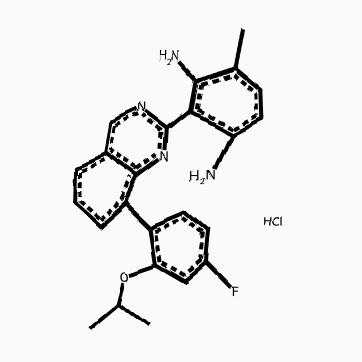 Cc1ccc(N)c(-c2ncc3cccc(-c4ccc(F)cc4OC(C)C)c3n2)c1N.Cl